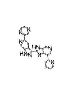 c1ccc(-c2cncc3[nH]c(-c4n[nH]c5cnc(-c6cnccn6)cc45)nc23)nc1